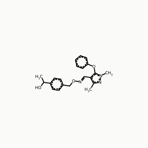 Cc1nn(C)c(Oc2ccccc2)c1C=NOCc1ccc(C(C)O)cc1